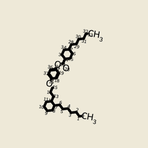 CCCCCCCC1CCCCC1CCCOc1ccc(OC(=O)C2CCC(CCCCCC)CC2)cc1